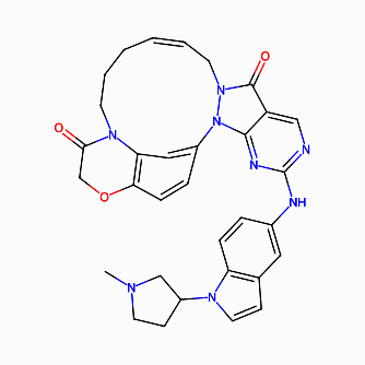 CN1CCC(n2ccc3cc(Nc4ncc5c(=O)n6n(c5n4)-c4ccc5c(c4)N(CCC/C=C\C6)C(=O)CO5)ccc32)C1